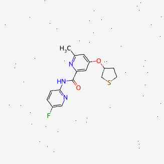 Cc1cc(OC2CCSC2)cc(C(=O)Nc2ccc(F)cn2)n1